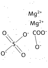 O=C([O-])[O-].O=S(=O)([O-])[O-].[Mg+2].[Mg+2]